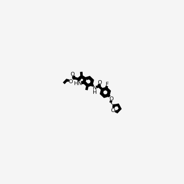 CCOC(=O)c1[nH]c2c(C)c(NC(=O)c3ccc(OC[C@@H]4CCCO4)cc3F)ccc2c1C